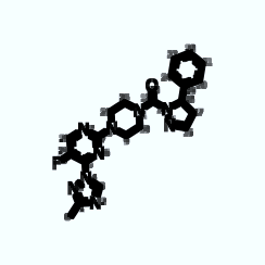 Cc1ncn(-c2nc(N3CCN(C(=O)N4N=CCC4c4ccccc4)CC3)ncc2F)n1